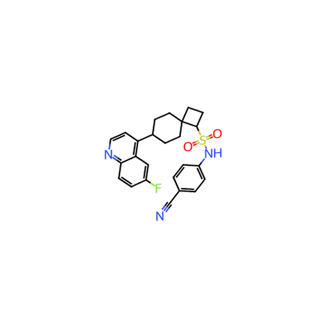 N#Cc1ccc(NS(=O)(=O)C2CCC23CCC(c2ccnc4ccc(F)cc24)CC3)cc1